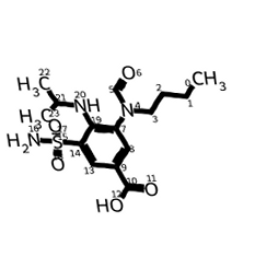 CCCCN(C=O)c1cc(C(=O)O)cc(S(N)(=O)=O)c1NC(C)C